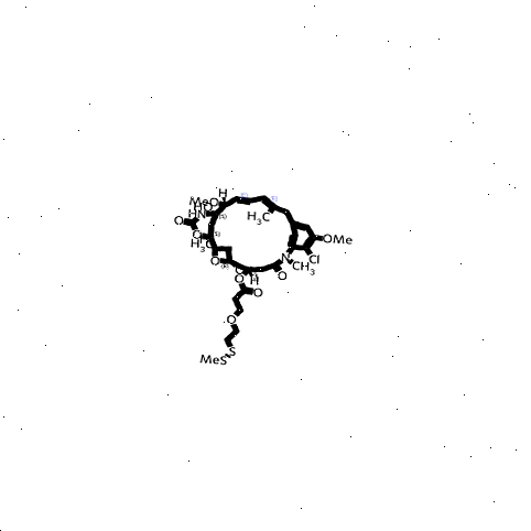 COc1cc2cc(c1Cl)N(C)C(=O)C[C@H](OC(=O)CCOCCSSC)[C@@]1(C)CC(C)(O1)[C@@H]1C[C@@](O)(NC(=O)O1)[C@H](OC)/C=C/C=C(\C)C2